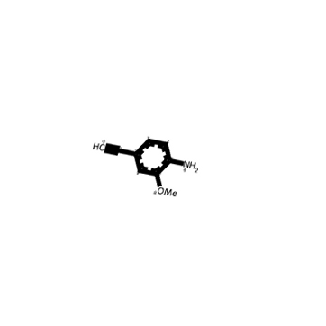 C#Cc1ccc(N)c(OC)c1